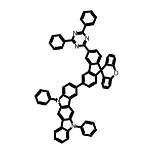 c1ccc(-c2nc(-c3ccccc3)nc(-c3ccc4c(c3)-c3cc(-c5ccc6c(c5)c5cc7c(cc5n6-c5ccccc5)c5ccccc5n7-c5ccccc5)ccc3C43c4ccccc4Oc4ccccc43)n2)cc1